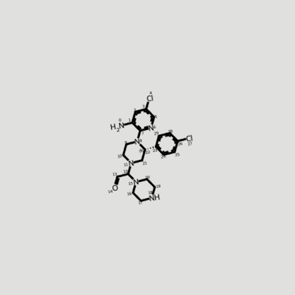 Nc1cc(Cl)cnc1N1CCN(C(C=O)N2CCNCC2)C[C@H]1c1ccc(Cl)cc1